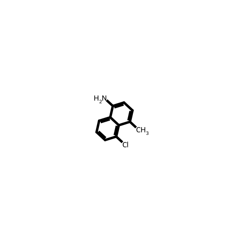 Cc1ccc(N)c2cccc(Cl)c12